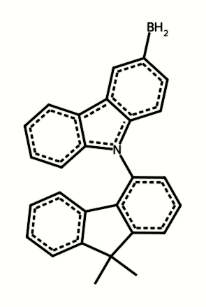 Bc1ccc2c(c1)c1ccccc1n2-c1cccc2c1-c1ccccc1C2(C)C